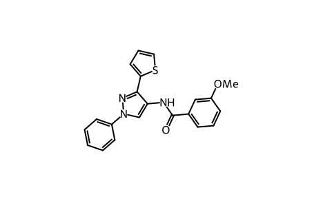 COc1cccc(C(=O)Nc2cn(-c3ccccc3)nc2-c2cccs2)c1